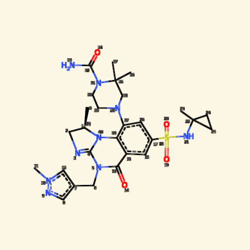 C[C@@H]1CN=C2N(Cc3cnn(C)c3)C(=O)c3cc(S(=O)(=O)NC4(C)CC4)cc(N4CCN(C(N)=O)C(C)(C)C4)c3N21